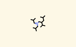 CC(C)CC(CN(CC(C)C)CC(C)C)C(C)C